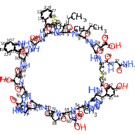 CCCC[C@H]1C(=O)N(C)[C@@H](CCCC)C(=O)N[C@@H](CCC(=O)O)C(=O)N[C@H](C(=O)NCC(N)=O)CSCC(=O)NC(Cc2ccc(O)cc2)c2nnnn2[C@@H](C)C(=O)N[C@@H](CC(=O)O)C(=O)N2CCC[C@H]2C(=O)N[C@@H](Cc2c[nH]cn2)C(=O)N[C@@H](CCC(N)=O)C(=O)N2C[C@H](O)C[C@H]2C(=O)N[C@@H](Cc2c[nH]c3ccccc23)C(=O)N[C@@H](CO)C(=O)N[C@@H](Cc2csc3ccccc23)C(=O)N1C